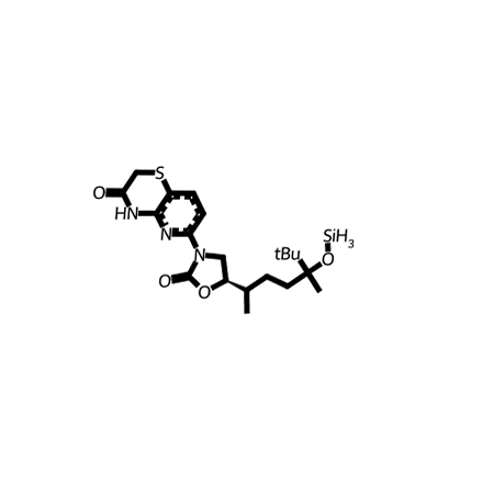 CC(CCC(C)(O[SiH3])C(C)(C)C)[C@@H]1CN(c2ccc3c(n2)NC(=O)CS3)C(=O)O1